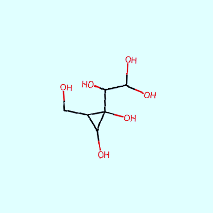 OCC1C(O)C1(O)C(O)C(O)O